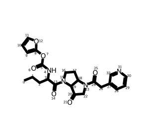 CCCC(NC(=O)Oc1ccco1)C(=O)N1CCC2C1C(=O)CN2C(=O)Cc1cccnc1